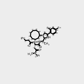 CC(C)CCC(=O)N[C@@H](CC(=O)N(C)C(C)C)C(=O)N[C@@H](C)C1NC(c2ccc(F)cc2F)CN1C1CCCCCCCC1